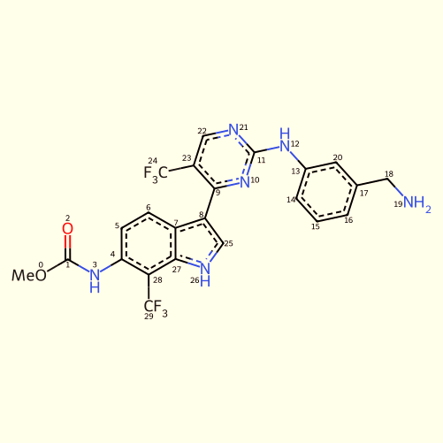 COC(=O)Nc1ccc2c(-c3nc(Nc4cccc(CN)c4)ncc3C(F)(F)F)c[nH]c2c1C(F)(F)F